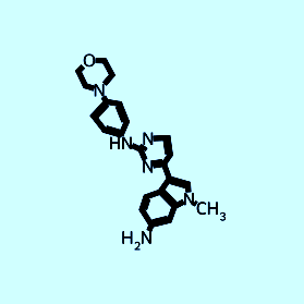 Cn1cc(-c2ccnc(Nc3ccc(N4CCOCC4)cc3)n2)c2ccc(N)cc21